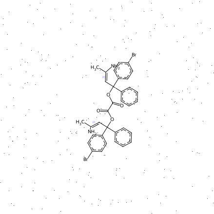 C/C(N)=C/C(OC(=O)C(=O)OC(/C=C(/C)N)(c1ccccc1)c1ccc(Br)cc1)(c1ccccc1)c1ccc(Br)cc1